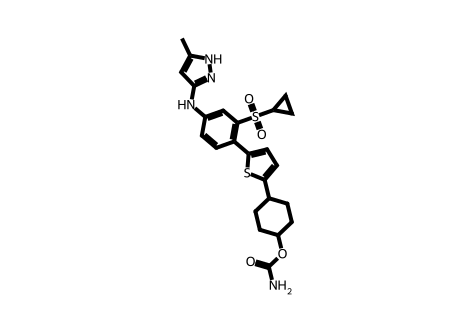 Cc1cc(Nc2ccc(-c3ccc(C4CCC(OC(N)=O)CC4)s3)c(S(=O)(=O)C3CC3)c2)n[nH]1